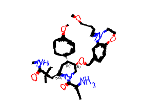 CNC(=O)C(C)(C)C[C@H]1C[C@H](c2ccc(OC)cc2)[C@@H](OCc2ccc3c(c2)N(CCCOC)CCO3)CN1C(=O)C(C)N